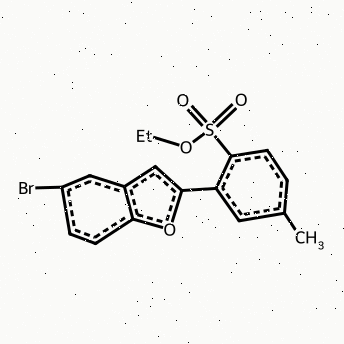 CCOS(=O)(=O)c1ccc(C)cc1-c1cc2cc(Br)ccc2o1